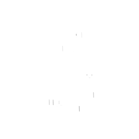 Cc1ccc(Oc2ccc(C)c(F)c2F)cc1F